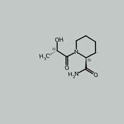 C[C@H](O)C(=O)N1CCC[CH][C@H]1C(N)=O